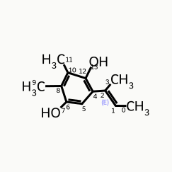 C/C=C(\C)c1cc(O)c(C)c(C)c1O